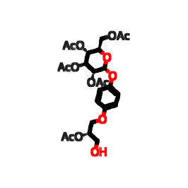 CC(=O)OC[C@H]1O[C@@H](Oc2ccc(OC[C@H](CO)OC(C)=O)cc2)[C@H](OC(C)=O)[C@@H](OC(C)=O)[C@@H]1OC(C)=O